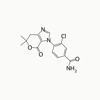 CC1(C)Cc2ncn(-c3ccc(C(N)=O)cc3Cl)c2C(=O)O1